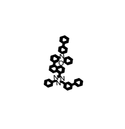 c1ccc(-c2ccc(N(c3ccccc3)c3cccc4c3Oc3ccc(-c5nc(-c6ccccc6)nc(-c6cccc(-c7ccccc7)c6)n5)c5cccc-4c35)cc2)cc1